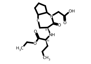 CCC[C@H](N[C@H]1CCC2CCCC2N(CC(=O)O)C1=O)C(=O)OCC